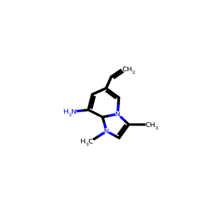 C=CC1=CN2C(C)=CN(C)C2C(N)=C1